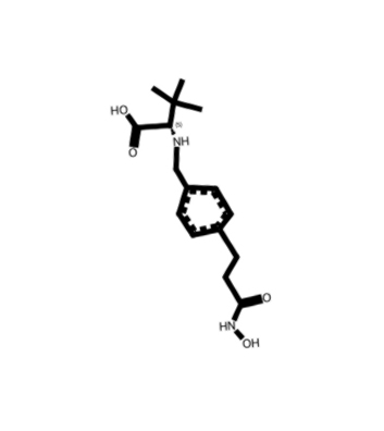 CC(C)(C)[C@H](NCc1ccc(CCC(=O)NO)cc1)C(=O)O